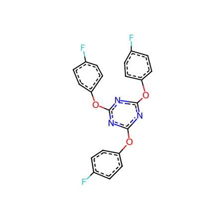 Fc1ccc(Oc2nc(Oc3ccc(F)cc3)nc(Oc3ccc(F)cc3)n2)cc1